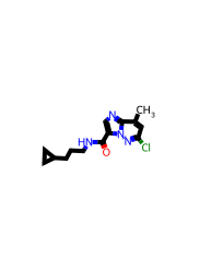 Cc1cc(Cl)nn2c(C(=O)NCCCC3CC3)cnc12